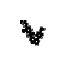 O=C(N[C@@H]1COc2cccc(-c3cnc(C4CC4)nc3)c2C1)c1ccn(CCC(F)(F)F)c(=O)c1